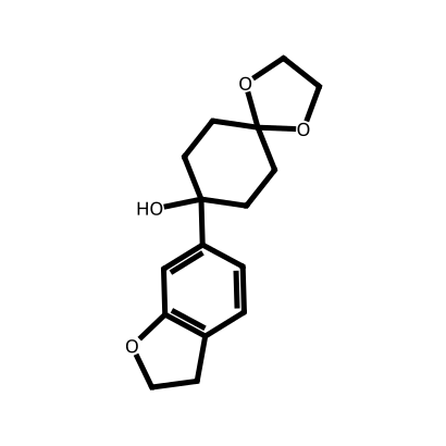 OC1(c2ccc3c(c2)OCC3)CCC2(CC1)OCCO2